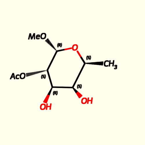 CO[C@@H]1O[C@@H](C)[C@@H](O)[C@@H](O)[C@@H]1OC(C)=O